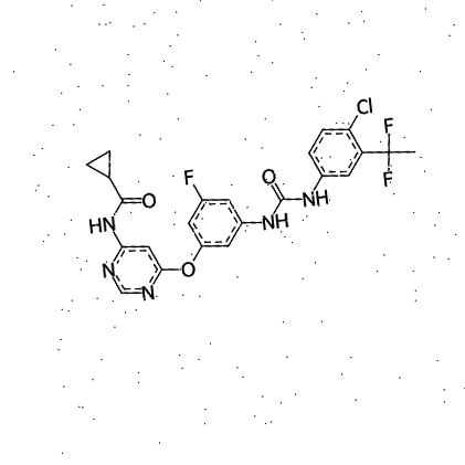 CC(F)(F)c1cc(NC(=O)Nc2cc(F)cc(Oc3cc(NC(=O)C4CC4)ncn3)c2)ccc1Cl